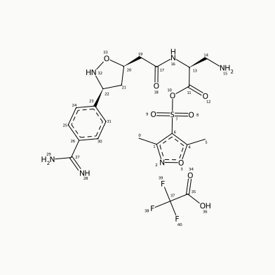 Cc1noc(C)c1S(=O)(=O)OC(=O)[C@H](CN)NC(=O)C[C@H]1C[C@@H](c2ccc(C(=N)N)cc2)NO1.O=C(O)C(F)(F)F